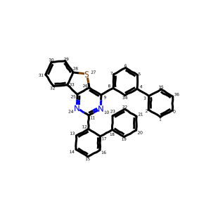 c1ccc(-c2cccc(-c3nc(-c4ccccc4-c4ccccc4)nc4c3sc3ccccc34)c2)cc1